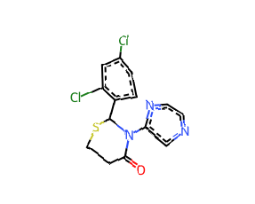 O=C1CCSC(c2ccc(Cl)cc2Cl)N1c1cnccn1